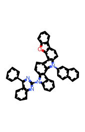 c1ccc(-c2nc(-n3c4ccccc4c4c3ccc3c5c6oc7ccccc7c6ccc5n(-c5ccc6ccccc6c5)c34)nc3ccccc23)cc1